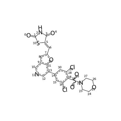 O=C1NC(=O)/C(=C/c2cc3cncc(-c4cc(Cl)c(S(=O)(=O)N5CCOCC5)c(Cl)c4)c3o2)S1